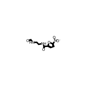 O=[C]NCCNC(=O)c1ccc([N+](=O)[O-])o1